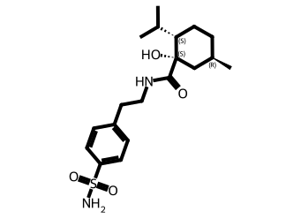 CC(C)[C@@H]1CC[C@@H](C)C[C@@]1(O)C(=O)NCCc1ccc(S(N)(=O)=O)cc1